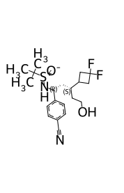 CC(C)(C)[S+]([O-])N[C@H](C[C@@H](CCO)C1CC(F)(F)C1)c1ccc(C#N)cc1